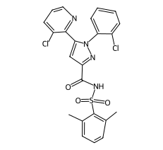 Cc1cccc(C)c1S(=O)(=O)NC(=O)c1cc(-c2ncccc2Cl)n(-c2ccccc2Cl)n1